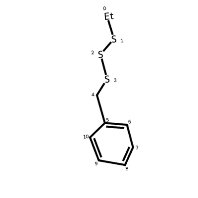 CCSSSCc1ccccc1